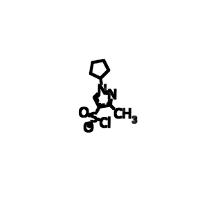 Cc1nn(C2CCCC2)cc1S(=O)(=O)Cl